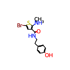 CNc1sc(Br)cc1C(=O)NCCc1ccc(O)cc1